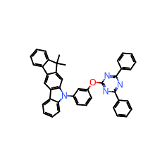 CC1(C)c2ccccc2-c2cc3c4ccccc4n(-c4cccc(Oc5nc(-c6ccccc6)nc(-c6ccccc6)n5)c4)c3cc21